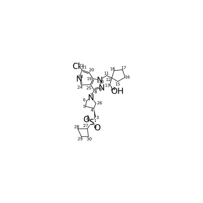 O=S(=O)(C[C@H]1CCN(c2nn(CC3(CO)CCCC3)c3cc(Cl)ncc23)C1)C1CCC1